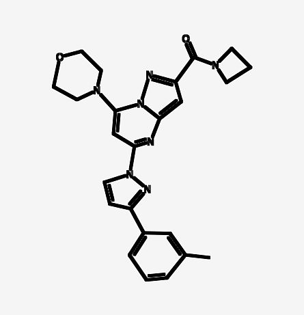 Cc1cccc(-c2ccn(-c3cc(N4CCOCC4)n4nc(C(=O)N5CCC5)cc4n3)n2)c1